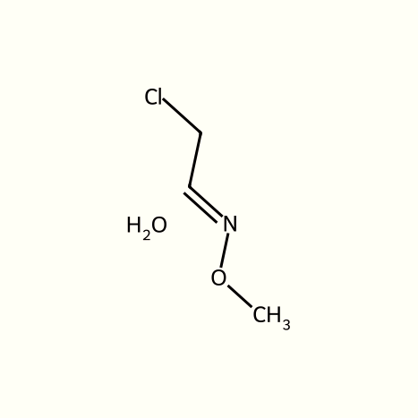 CON=CCCl.O